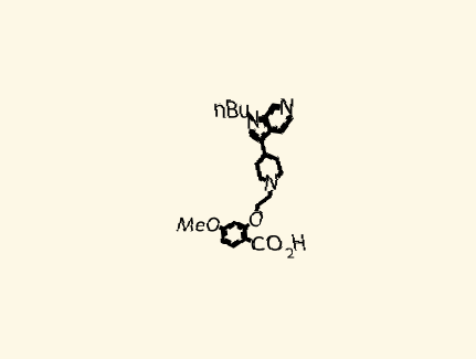 CCCCn1cc(C2CCN(CCOc3cc(OC)ccc3C(=O)O)CC2)c2ccncc21